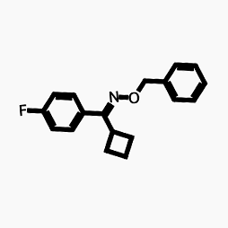 Fc1ccc(C(=NOCc2ccccc2)C2CCC2)cc1